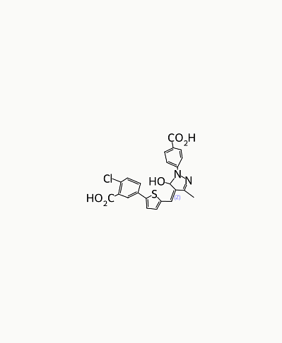 CC1=NN(c2ccc(C(=O)O)cc2)C(O)/C1=C\c1ccc(-c2ccc(Cl)c(C(=O)O)c2)s1